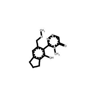 COCc1cc2c(c(O)c1-c1nncc(=O)n1C)CCC2